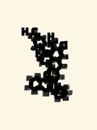 CN1CCN(C2CCN(C(=O)C(CC(=O)N3CCC4CC3(N3CNc5ccccc5C3)O4)Cc3cc(Cl)c(N)c(C(F)(F)F)c3)CC2)CC1